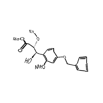 CCO[C@@H](C(=O)OC)[C@H](O)c1ccc(OCc2ccccc2)cc1OC